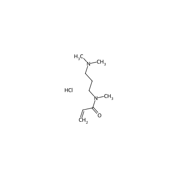 C=CC(=O)N(C)CCCN(C)C.Cl